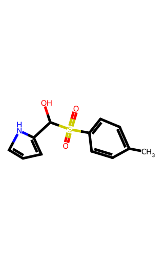 Cc1ccc(S(=O)(=O)C(O)c2ccc[nH]2)cc1